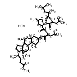 COC(=O)CCC(C)[C@H]1CCC2C3C(C[C@H](O)[C@@]21C)[C@@]1(C)CC[C@H](NC(=O)C(CC(C)C)NC(=O)C(CC(C)C)NC(=O)C(CC(C)C)NC(=O)C(N)CC(C)C)C[C@H]1C[C@H]3O.Cl